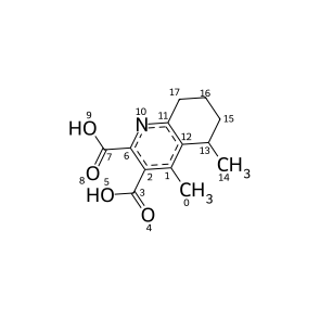 Cc1c(C(=O)O)c(C(=O)O)nc2c1C(C)CCC2